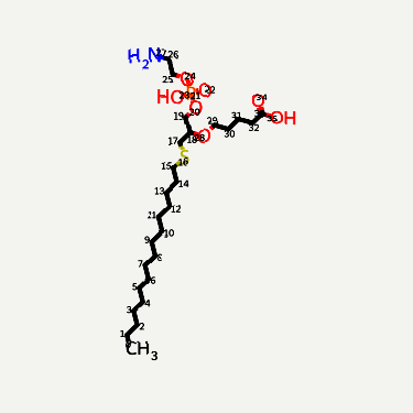 CCCCCCCCCCCCCCCCSCC(COP(=O)(O)OCCN)OCCCCC(=O)O